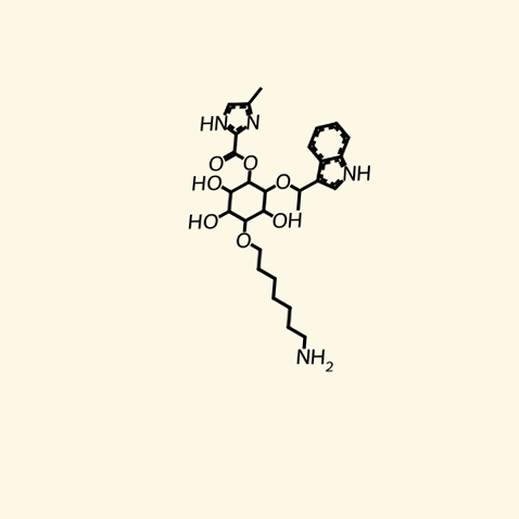 Cc1c[nH]c(C(=O)OC2C(O)C(O)C(OCCCCCCCN)C(O)C2OC(C)c2c[nH]c3ccccc23)n1